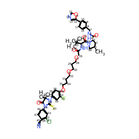 C[C@@H]1C[C@@H](C(=O)NCc2ccc(-c3cnco3)cc2)N(C(=O)[C@@H](NC(=O)COCCCOCCCCOc2ccc(N3C(=S)N(c4ccc(C#N)c(Cl)c4)C(=O)C3(C)C)cc2F)C(C)(C)C)C1